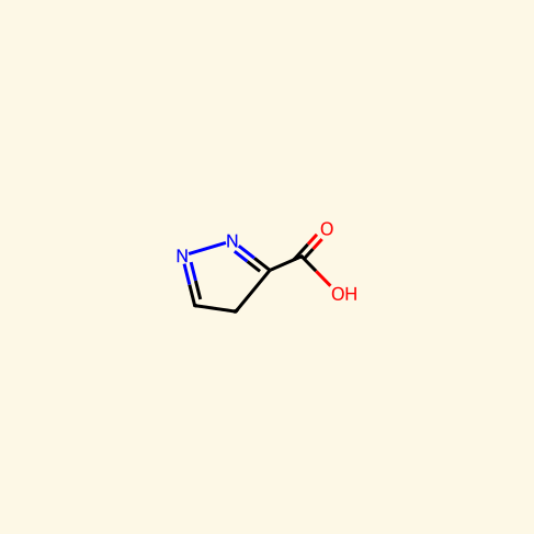 O=C(O)C1=NN=CC1